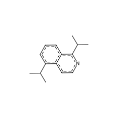 CC(C)c1cccc2c(C(C)C)nccc12